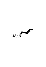 CC=CCNC